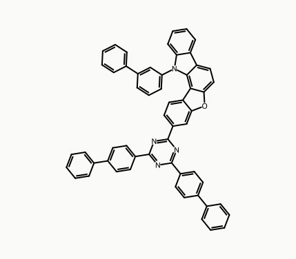 c1ccc(-c2ccc(-c3nc(-c4ccc(-c5ccccc5)cc4)nc(-c4ccc5c(c4)oc4ccc6c7ccccc7n(-c7cccc(-c8ccccc8)c7)c6c45)n3)cc2)cc1